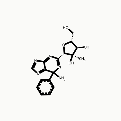 C[C@@]1(O)[C@H](O)[C@@H](CO)O[C@H]1C1=NC(N)(c2ccccc2)C2=NC=NC2=N1